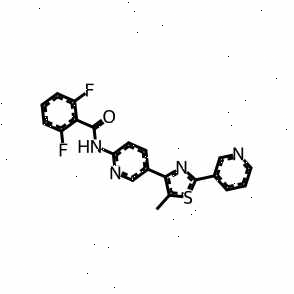 Cc1sc(-c2cccnc2)nc1-c1ccc(NC(=O)c2c(F)cccc2F)nc1